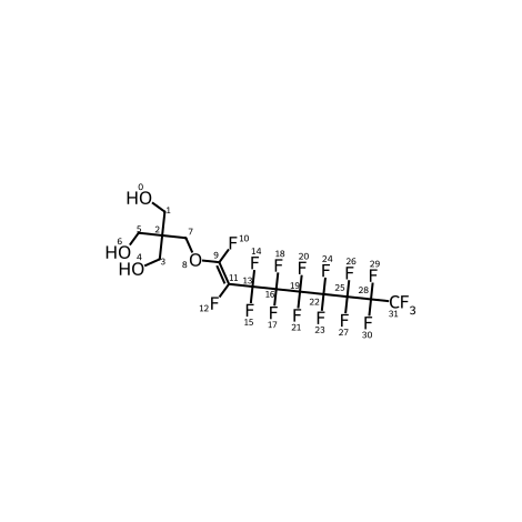 OCC(CO)(CO)COC(F)=C(F)C(F)(F)C(F)(F)C(F)(F)C(F)(F)C(F)(F)C(F)(F)C(F)(F)F